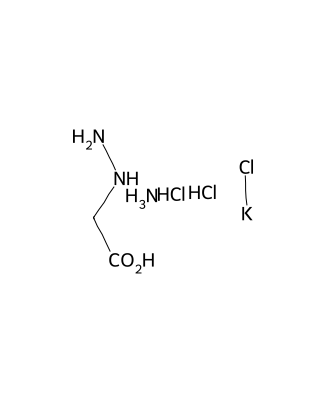 Cl.Cl.N.NNCC(=O)O.[Cl][K]